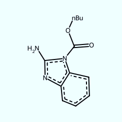 CCCCOC(=O)n1c(N)nc2ccccc21